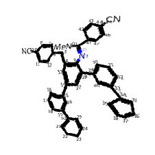 CN/C(=N\c1c(CC2C=CC(C#N)=CC2)cc(-c2cccc(C3=CCCC=C3)c2)cc1-c1cccc(-c2ccccc2)c1)c1ccc(C#N)cc1